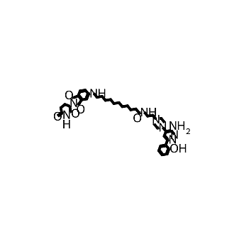 Nc1nnc(-c2ccccc2O)cc1N1CCN(CCNC(=O)CCCCCCCCCCNc2ccc3c(c2)C(=O)N(C2CCC(=O)NC2=O)C3=O)CC1